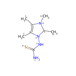 CC1=C(C)N(NC(N)=S)C(C)N1C